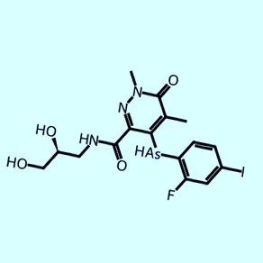 Cc1c([AsH]c2ccc(I)cc2F)c(C(=O)NC[C@H](O)CO)nn(C)c1=O